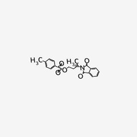 Cc1ccc(S(=O)(=O)OCC[C@@H](C)N2C(=O)c3ccccc3C2=O)cc1